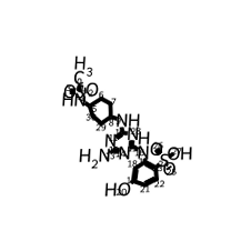 CS(=O)(=O)NC1CCC(Nc2nc(N)nc(Nc3cc(O)ccc3S(=O)(=O)O)n2)CC1